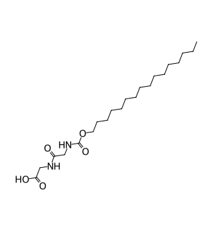 CCCCCCCCCCCCCCCCOC(=O)NCC(=O)NCC(=O)O